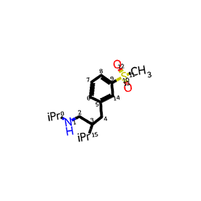 CC(C)NCC(Cc1cccc(S(C)(=O)=O)c1)C(C)C